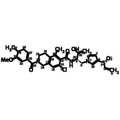 C=C[S+]([O-])c1ccn(C[C@H](NC(=O)c2c(Cl)cc3c(c2C)CCN(C(=O)C2=CCC(C)C(OC)=C2)C3)C(=C)O)c1